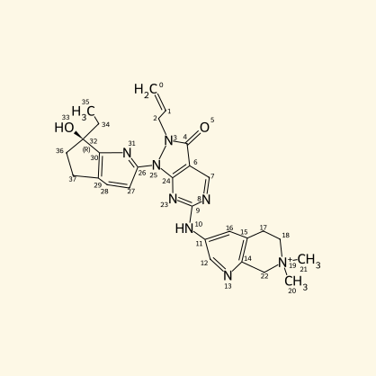 C=CCn1c(=O)c2cnc(Nc3cnc4c(c3)CC[N+](C)(C)C4)nc2n1-c1ccc2c(n1)[C@@](O)(CC)CC2